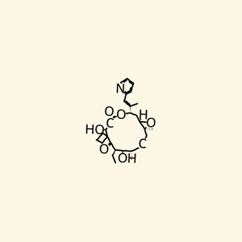 CC[C@H]1C(=O)C2(CCC2)[C@@H](O)CC(=O)O[C@H](C(C)=Cc2ccccn2)C[C@H]2O[C@@]2(C)CCC[C@H](C)[C@@H]1O